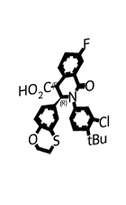 CC(C)(C)c1ccc(N2C(=O)c3cc(F)ccc3[C@@H](C(=O)O)[C@@H]2c2ccc3c(c2)SCCO3)cc1Cl